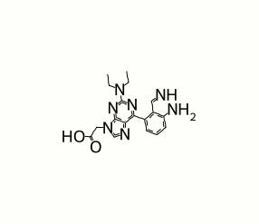 CCN(CC)c1nc(-c2cccc(N)c2C=N)c2ncn(CC(=O)O)c2n1